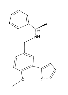 COc1ccc(CN[C@H](C)c2ccccc2)cc1-c1cccs1